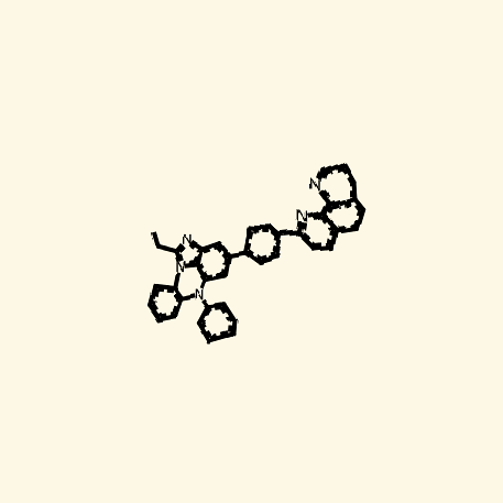 CCc1nc2cc(-c3ccc(-c4ccc5ccc6cccnc6c5n4)cc3)cc3c2n1-c1ccccc1N3c1ccccc1